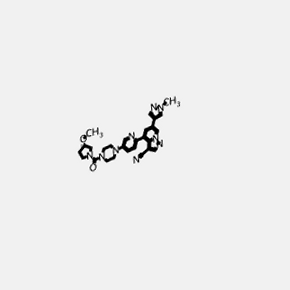 CO[C@H]1CCN(C(=O)N2CCN(c3ccc(-c4cc(-c5cnn(C)c5)cn5ncc(C#N)c45)nc3)CC2)C1